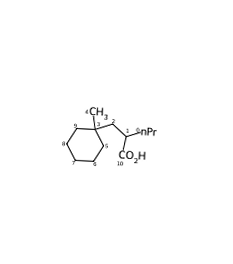 CCCC(CC1(C)CCCCC1)C(=O)O